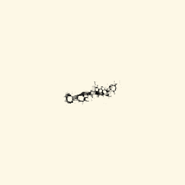 O=C(O)Oc1nc(-c2ccccc2)ncc1NC(=O)OCc1cc2cc(-c3ccccc3)ccc2o1